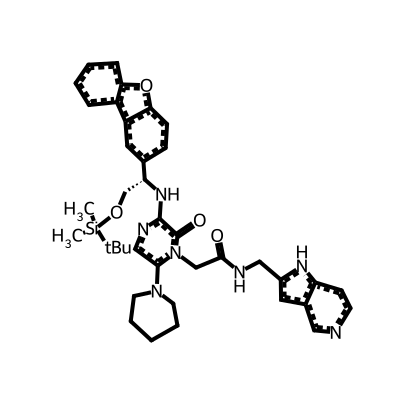 CC(C)(C)[Si](C)(C)OC[C@@H](Nc1ncc(N2CCCCC2)n(CC(=O)NCc2cc3cnccc3[nH]2)c1=O)c1ccc2oc3ccccc3c2c1